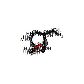 CO/C(C)=C1/NC(=O)[C@H]([C@@H](C)O)NC(=O)c2csc(n2)-c2cc(O)c(-c3nc(CNC(=O)[C@H](C)NC(N)=O)cs3)nc2-c2csc(n2)[C@@H]2COC(=O)c3c4c5c(cccc5n3O)COC(=O)[C@@H](O[C@H]3C[C@](C)(O)[C@H](N(C)C)[C@H](C)O3)[C@@H](OC4)[C@H](NC(=O)c3csc1n3)c1nc(cs1)C(=O)N2